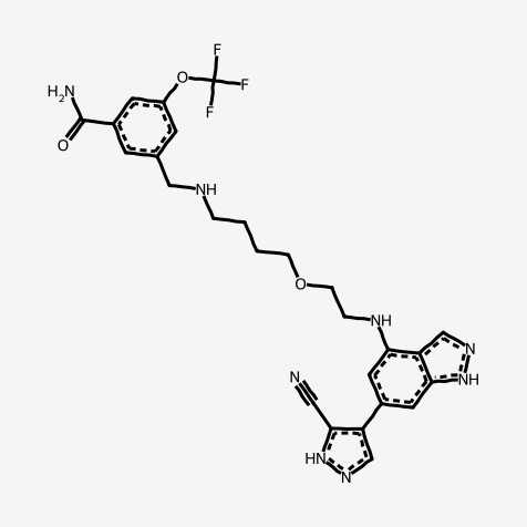 N#Cc1[nH]ncc1-c1cc(NCCOCCCCNCc2cc(OC(F)(F)F)cc(C(N)=O)c2)c2cn[nH]c2c1